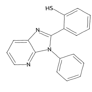 Sc1ccccc1-c1nc2cccnc2n1-c1ccccc1